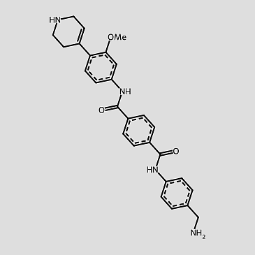 COc1cc(NC(=O)c2ccc(C(=O)Nc3ccc(CN)cc3)cc2)ccc1C1=CCNCC1